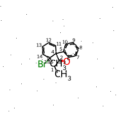 CCC(=O)C1(c2ccccc2)C=CC=CC1(C)Br